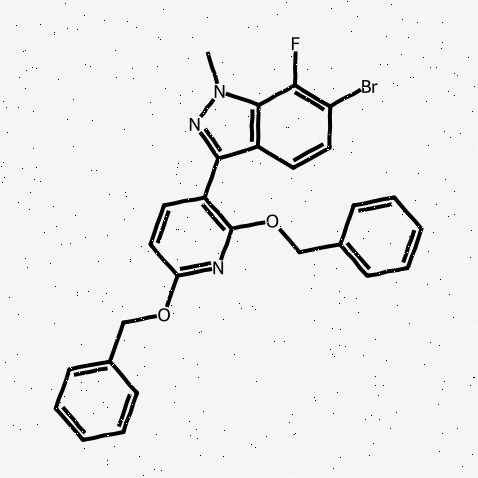 Cn1nc(-c2ccc(OCc3ccccc3)nc2OCc2ccccc2)c2ccc(Br)c(F)c21